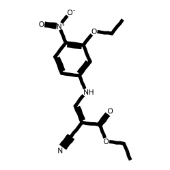 CCOC(=O)C(C#N)=CNc1ccc([N+](=O)[O-])c(OCC)c1